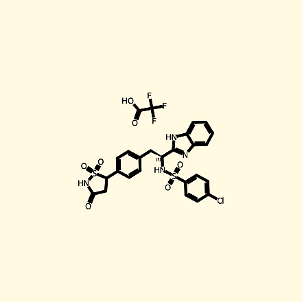 O=C(O)C(F)(F)F.O=C1CC(c2ccc(C[C@H](NS(=O)(=O)c3ccc(Cl)cc3)c3nc4ccccc4[nH]3)cc2)S(=O)(=O)N1